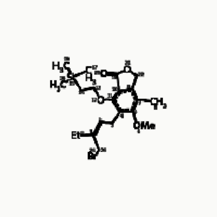 CCC(=CCc1c(OC)c(C)c2c(c1OCC[Si](C)(C)C)C(=O)OC2)CBr